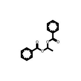 CC(OC(=O)c1ccccc1)OC(=O)c1ccccc1